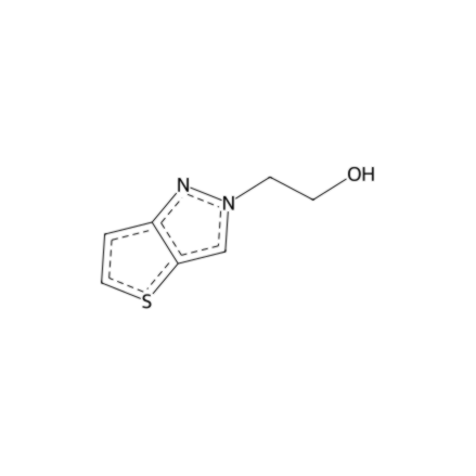 OCCn1cc2sccc2n1